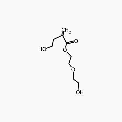 C=C(CCO)C(=O)OCCOCCO